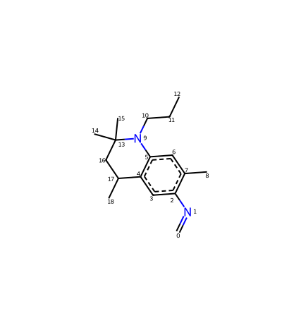 C=Nc1cc2c(cc1C)N(CCC)C(C)(C)CC2C